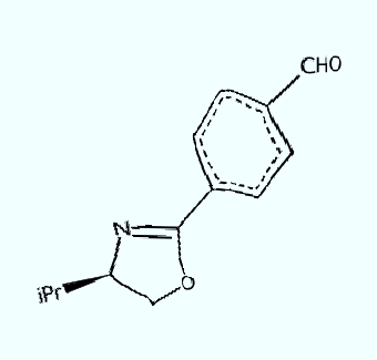 CC(C)[C@@H]1COC(c2ccc(C=O)cc2)=N1